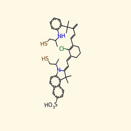 C=C(/C=C/C1=C(Cl)C(=C/C=C2\N(C(C)CS)c3ccc4cc(S(=O)(=O)O)ccc4c3C2(C)C)/CCC1)C(C)(C)c1ccccc1NC(C)CS